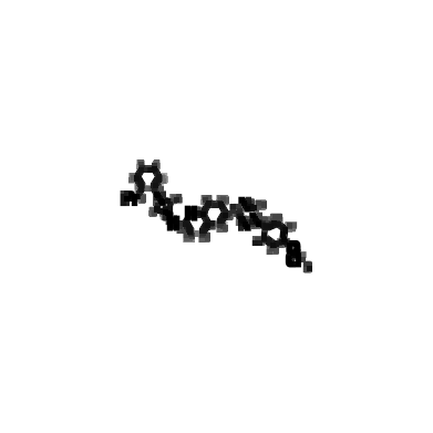 CC(C)c1ccccc1N1CS(=Nc2ccc3cc(-c4ncn(-c5ccc(OC(F)(F)F)cc5)n4)ccc3n2)C1